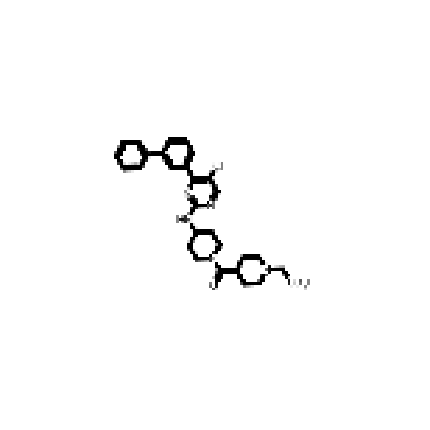 O=C(O)CN1CCC(C(=O)N2CCC(Nc3ncc(Cl)c(-c4cccc(-c5ccccc5)c4)n3)CC2)CC1